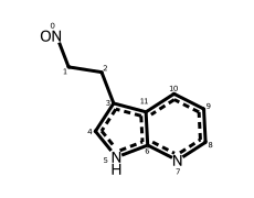 O=NCCc1c[nH]c2ncccc12